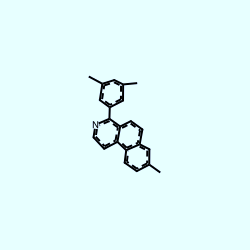 Cc1cc(C)cc(-c2nccc3c2ccc2cc(C)ccc23)c1